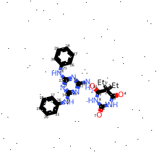 CCC1(CC)C(=O)NC(=O)NC1=O.Nc1nc(Nc2ccccc2)nc(Nc2ccccc2)n1